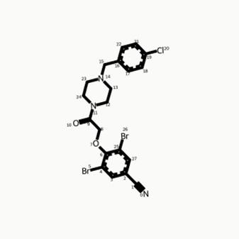 N#Cc1cc(Br)c(OCC(=O)N2CCN(Cc3ccc(Cl)cc3)CC2)c(Br)c1